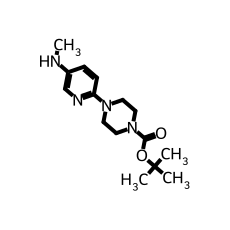 CNc1ccc(N2CCN(C(=O)OC(C)(C)C)CC2)nc1